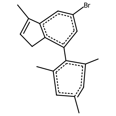 CC1=CCc2c1cc(Br)cc2-c1c(C)cc(C)cc1C